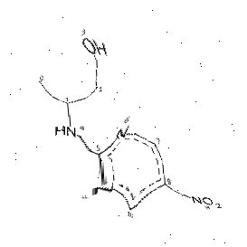 CC(CO)Nc1ncc([N+](=O)[O-])cn1